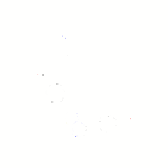 CN(C)C1CCN(C(=O)c2ccc(-c3nn4c(-c5ccc(O)cc5)cnc4s3)cc2)CC1